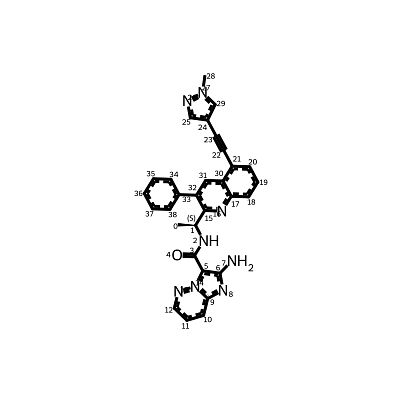 C[C@H](NC(=O)c1c(N)nc2cccnn12)c1nc2cccc(C#Cc3cnn(C)c3)c2cc1-c1ccccc1